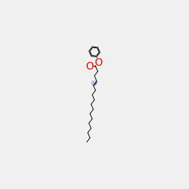 CCCCCCCCCCCC/C=C/CCC(=O)Oc1ccccc1